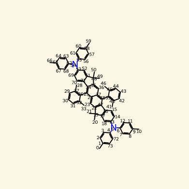 Cc1ccc(N(c2ccc(C)cc2)c2ccc3c(c2)C(C)(C)c2cc4c(-c5c(C)cccc5C)c5c(cc4c(-c4c(C)cccc4C)c2-3)C(C)(C)c2cc(N(c3ccc(C)cc3)c3ccc(C)cc3)ccc2-5)cc1